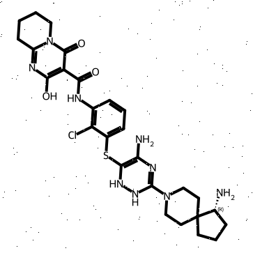 NC1=C(Sc2cccc(NC(=O)c3c(O)nc4n(c3=O)CCCC4)c2Cl)NNC(N2CCC3(CCC[C@H]3N)CC2)=N1